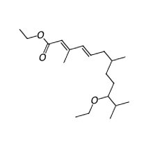 CCOC(=O)/C=C(C)/C=C/CC(C)CCC(OCC)C(C)C